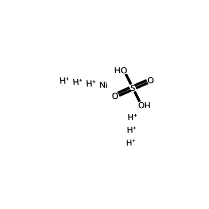 O=S(=O)(O)O.[H+].[H+].[H+].[H+].[H+].[H+].[Ni]